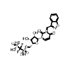 O=c1ccn([C@@H]2O[C@H](COP(=O)(O)C(F)(F)P(=O)(O)O)[C@H](O)[C@@H]2O)c(=O)n1Cc1noc2ccccc12